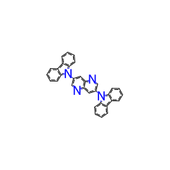 c1ccc2c(c1)c1ccccc1n2-c1cnc2cc(-n3c4ccccc4c4ccccc43)cnc2c1